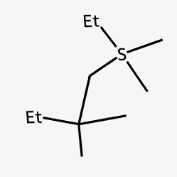 CCC(C)(C)CS(C)(C)CC